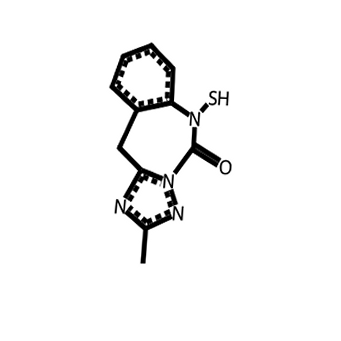 Cc1nc2n(n1)C(=O)N(S)c1ccccc1C2